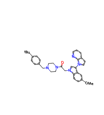 COc1ccc2c(c1)c(-n1ccc3cccnc31)cn2CC(=O)N1CCN(Cc2ccc(C(C)(C)C)cc2)CC1